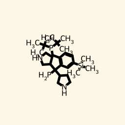 CC(C)(C)P(Cc1ccc([Si](C)(C)C)cc1C(P)(C1CCNC1)C1CCNC1)C(C)(C)C